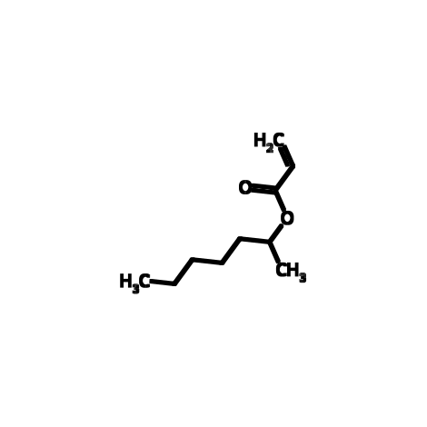 C=CC(=O)OC(C)CCCCC